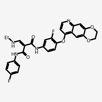 CCN/C=C(\C(=O)Nc1ccc(F)cc1)C(=O)Nc1ccc(Oc2ccnc3cc4c(cc23)OCCO4)c(F)c1